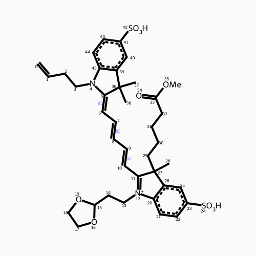 C=CCCN1/C(=C/C=C/C=C/C2=[N+](CCC3OCCO3)c3ccc(S(=O)(=O)O)cc3C2(C)CCCCC(=O)OC)C(C)(C)c2cc(S(=O)(=O)O)ccc21